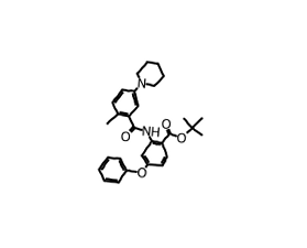 Cc1ccc(N2CCCCC2)cc1C(=O)Nc1cc(Oc2ccccc2)ccc1C(=O)OC(C)(C)C